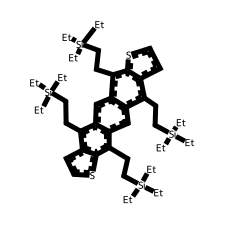 CC[Si](CC)(CC)CCc1c2cc3c(CC[Si](CC)(CC)CC)c4sccc4c(CC[Si](CC)(CC)CC)c3cc2c(CC[Si](CC)(CC)CC)c2sccc12